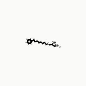 NCC(O)COCCCCCCCCc1ccccc1